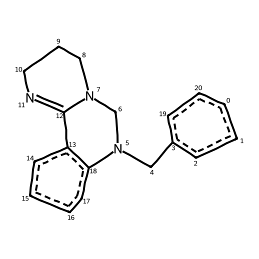 c1ccc(CN2CN3CCCN=C3c3ccccc32)cc1